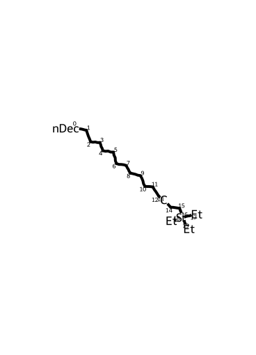 CCCCCCCCCCCCCCCCCCCCCCCC[CH][Si](CC)(CC)CC